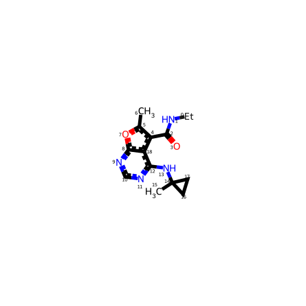 CCNC(=O)c1c(C)oc2ncnc(NC3(C)CC3)c12